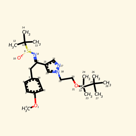 COc1ccc(C/C(=N\[S@+]([O-])C(C)(C)C)c2cnn(CCO[Si](C)(C)C(C)(C)C)c2)cc1